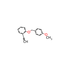 C#Cc1ccccc1OCc1ccc(OC)cc1